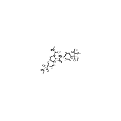 CNC(=O)N1Cc2cc(S(=O)(=O)NC)ccc2C1C(=O)Nc1ccc(C(C)(O)C(F)(F)F)cc1